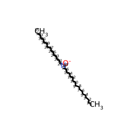 CCCCCCCCCCCCCCCCCC=[N+]([O-])CCCCCCCCCCCCCCCC